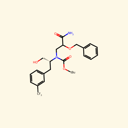 CC(C)(C)OC(=O)N(CC(OCc1ccccc1)C(N)=O)[C@@H](CO)Cc1cccc(C(F)(F)F)c1